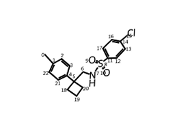 Cc1ccc(C2(CNS(=O)(=O)c3ccc(Cl)cc3)CCC2)cc1